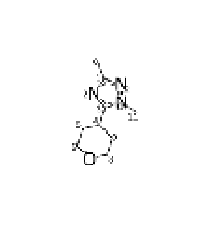 Cc1nc(C2CCOCC2)n(C)n1